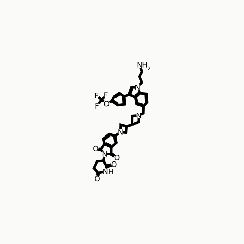 NCCCn1cc(-c2ccc(OC(F)(F)F)cc2)c2cc(CN3CC(C4CN(c5ccc6c(c5)C(=O)N(C5CCC(=O)NC5=O)C6=O)C4)C3)ccc21